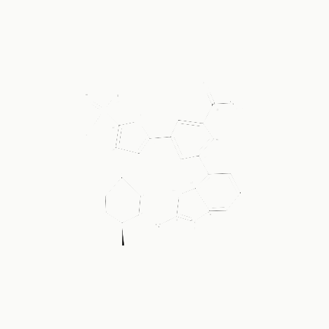 C[C@H]1CCCC[C@@H]1Nc1nc2cccc(-c3cc(C(N)=O)cc(-c4ccc(P(=O)(O)O)o4)c3)c2s1